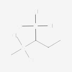 CCC(S(C)(Cl)Cl)S(Cl)(Cl)Cl